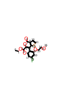 CCOC(=O)c1oc(=O)c2ccsc2c1-c1ccc(F)cc1OCCOC